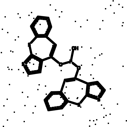 OP(OC1=Cc2ccccc2Sc2sccc21)OC1=Cc2ccccc2Sc2sccc21